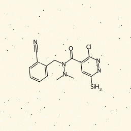 CN(C)N(Cc1ccccc1C#N)C(=O)c1cc([SiH3])nnc1Cl